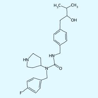 CC(C)C(O)Cc1ccc(CNC(=O)N(Cc2ccc(F)cc2)C2CCNCC2)cc1